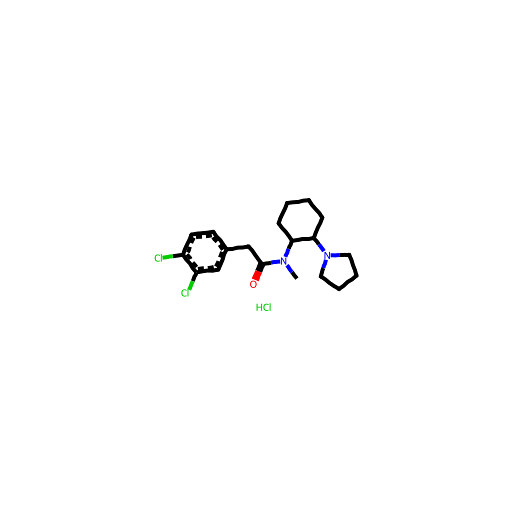 CN(C(=O)Cc1ccc(Cl)c(Cl)c1)C1CCCCC1N1CCCC1.Cl